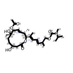 CC(=O)O[C@H]1/C=C/[C@H](C)[C@@H](/C(C)=C/C=C/C(C)COC(=O)N(C)C(C)C)OC(=O)C[C@@H](O)CC[C@]1(C)O